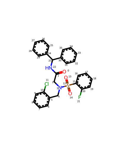 O=C(CN(Cc1ccccc1Cl)S(=O)(=O)c1ccccc1F)NC(c1ccccc1)c1ccccc1